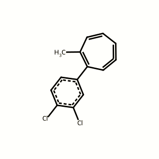 CC1=C(c2ccc(Cl)c(Cl)c2)C=C=CC=C1